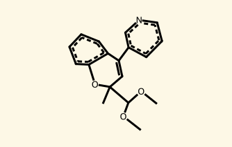 COC(OC)C1(C)C=C(c2cccnc2)c2ccccc2O1